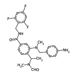 CC(c1ccc(C(=O)NCc2c(F)cc(F)cc2F)cc1N(C)Cc1ccc(N)cc1)N(C)C=O